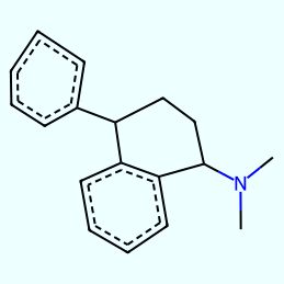 CN(C)C1CCC(c2ccccc2)c2ccccc21